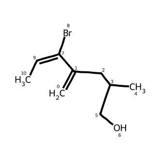 C=C(CC(C)CO)/C(Br)=C\C